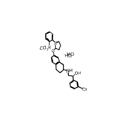 Cl.Cl.O=C(O)c1ccccc1N1CCCC1Oc1ccc2c(c1)C[C@@H](NC[C@@H](O)c1cccc(Cl)c1)CC2